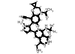 [2H]C([2H])([2H])Nc1nc(-c2cnn(C)c2-c2c(F)cc3c(c2C#N)OC2(CC2)CN3C(C)=O)cc2c(CN)n[nH]c(=O)c12